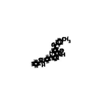 CN1CCN(C(=O)c2ccc3c(c2)c(=O)[nH]c2nccc(Nc4ccc(NC(=O)c5ccccc5)cc4)c23)CC1